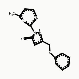 Cc1ccnc(-n2[nH]c(CSc3ccccc3)cc2=O)c1